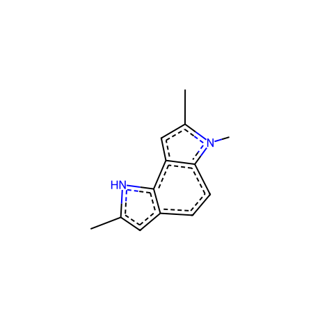 Cc1cc2ccc3c(cc(C)n3C)c2[nH]1